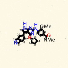 CNC(=O)c1ccc(Nc2nc(OC3CCCC3)c3c(-c4ccc5c(c4)CN=C5)c[nH]c3n2)c(OC)c1